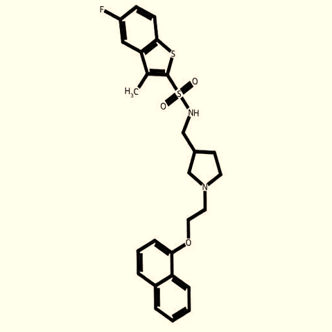 Cc1c(S(=O)(=O)NCC2CCN(CCOc3cccc4ccccc34)C2)sc2ccc(F)cc12